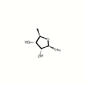 CC(=O)O[C@@H]1O[C@H](C)[C@@H](O)[C@H]1O